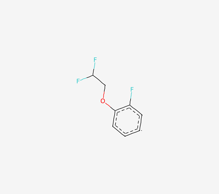 Fc1c[c]ccc1OCC(F)F